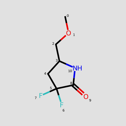 COCC1CC(F)(F)C(=O)N1